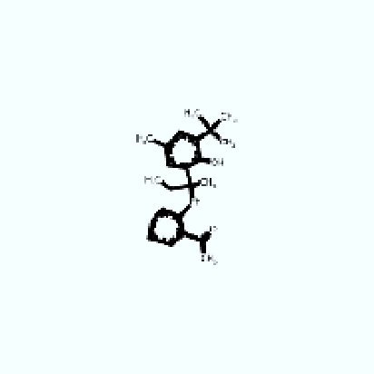 CCC(C)(Pc1ccccc1C(C)=O)c1cc(C)cc(C(C)(C)C)c1O